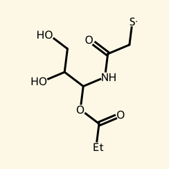 CCC(=O)OC(NC(=O)C[S])C(O)CO